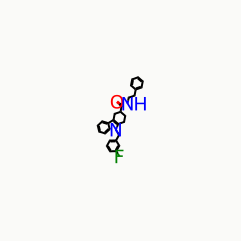 O=C(NCCc1ccccc1)C1CCc2c(c3ccccc3n2Cc2cccc(F)c2)C1